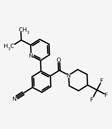 CC(C)c1cccc(-c2cc(C#N)ccc2C(=O)N2CCC(C(F)(F)F)CC2)n1